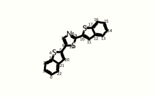 c1ccc2sc(-c3cnc(-c4cc5ccccc5s4)s3)cc2c1